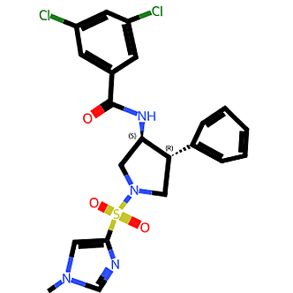 Cn1cnc(S(=O)(=O)N2C[C@@H](NC(=O)c3cc(Cl)cc(Cl)c3)[C@H](c3ccccc3)C2)c1